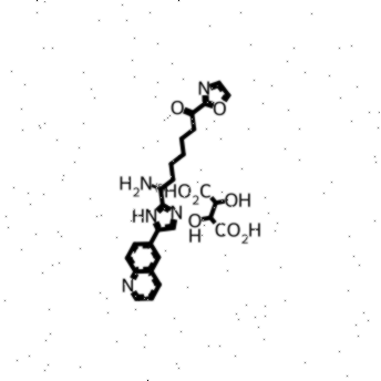 N[C@@H](CCCCCC(=O)c1ncco1)c1ncc(-c2ccc3ncccc3c2)[nH]1.O=C(O)C(O)C(O)C(=O)O